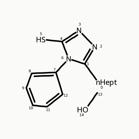 CCCCCCCc1nnc(S)n1-c1ccccc1.CO